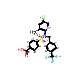 Cc1cc(Cl)cnc1N(Cc1ccc(C(F)(F)F)cc1)S(=O)(=O)c1ccc(C(=O)O)cc1